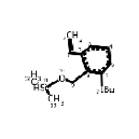 C=Cc1cccc(C(C)(C)C)c1CO[SiH](C)C